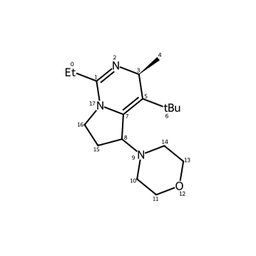 CCC1=N[C@@H](C)C(C(C)(C)C)=C2C(N3CCOCC3)CCN12